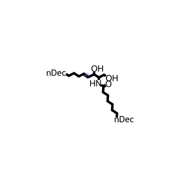 CCCCCCCCCCCCC/C=C/C(O)C(CO)NC(=O)CCCCCCCCCCCCCCCC